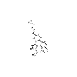 C=Nc1[nH]ccc1-c1c(C)c(=O)ccn1C1CCC(COCCC(F)(F)F)CC1